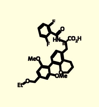 CCOCc1cc(OC)c(-c2ccc(C[C@H](NC(=O)c3c(F)cccc3F)C(=O)O)c3c2OCCC3)c(OC)c1